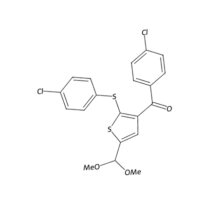 COC(OC)c1cc(C(=O)c2ccc(Cl)cc2)c(Sc2ccc(Cl)cc2)s1